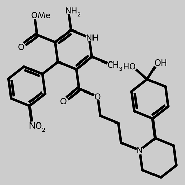 COC(=O)C1=C(N)NC(C)=C(C(=O)OCCCN2CCCCC2C2=CCC(O)(O)C=C2)C1c1cccc([N+](=O)[O-])c1